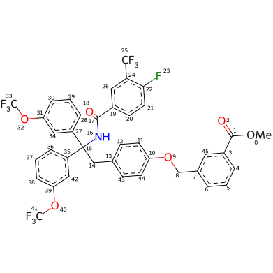 COC(=O)c1cccc(COc2ccc(CC(NC(=O)c3ccc(F)c(C(F)(F)F)c3)(c3cccc(OC(F)(F)F)c3)c3cccc(OC(F)(F)F)c3)cc2)c1